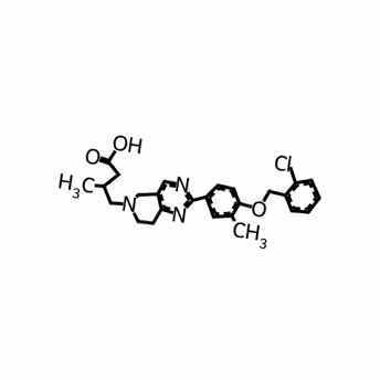 Cc1cc(-c2ncc3c(n2)CCN(CC(C)CC(=O)O)C3)ccc1OCc1ccccc1Cl